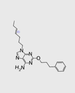 CC/C=C/CCCn1cnc2c(N)nc(OCCCc3ccccc3)nc21